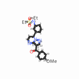 CCN(c1cccc(-c2ccnc3c(C(=O)c4ccc(OC)cc4)cnn23)c1)S(=O)(=O)CC